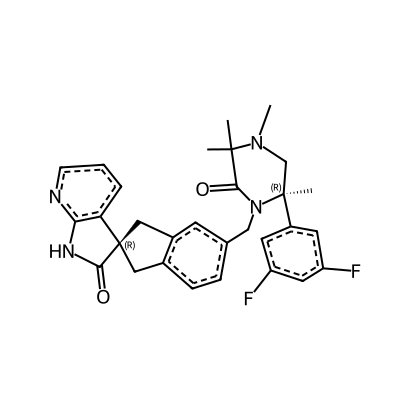 CN1C[C@@](C)(c2cc(F)cc(F)c2)N(Cc2ccc3c(c2)C[C@@]2(C3)C(=O)Nc3ncccc32)C(=O)C1(C)C